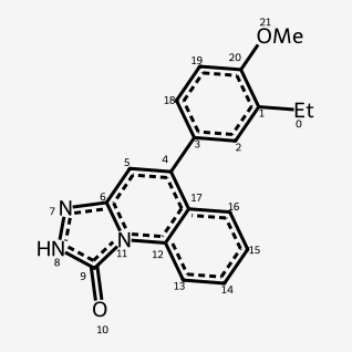 CCc1cc(-c2cc3n[nH]c(=O)n3c3ccccc23)ccc1OC